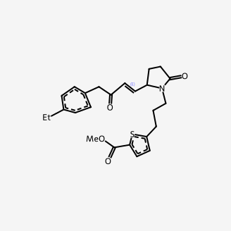 CCc1ccc(CC(=O)/C=C/C2CCC(=O)N2CCCc2ccc(C(=O)OC)s2)cc1